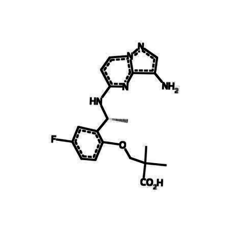 C[C@@H](Nc1ccn2ncc(N)c2n1)c1cc(F)ccc1OCC(C)(C)C(=O)O